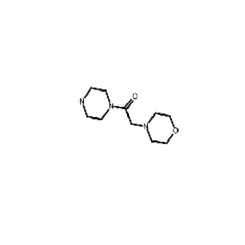 O=C(CN1CCOCC1)N1CC[N]CC1